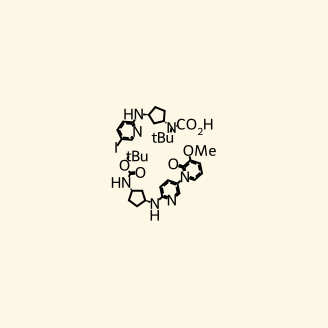 CC(C)(C)N(C(=O)O)[C@H]1CC[C@H](Nc2ccc(I)cn2)C1.COc1cccn(-c2ccc(N[C@H]3CC[C@H](NC(=O)OC(C)(C)C)C3)nc2)c1=O